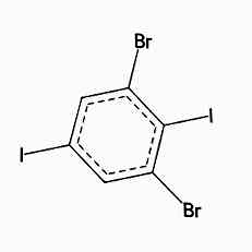 Brc1cc(I)cc(Br)c1I